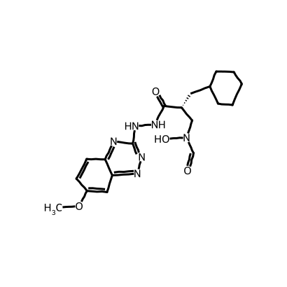 COc1ccc2nc(NNC(=O)[C@H](CC3CCCCC3)CN(O)C=O)nnc2c1